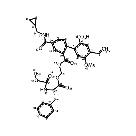 C=Cc1cc(C(=O)O)c(-c2ccc(C(=O)NCC3CC3)nc2C(=O)OCOC(=O)[C@H](Cc2ccccc2)NC(=O)OC(C)(C)C)cc1OC